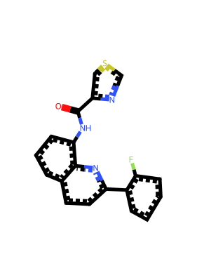 O=C(Nc1cccc2ccc(-c3ccccc3F)nc12)c1cscn1